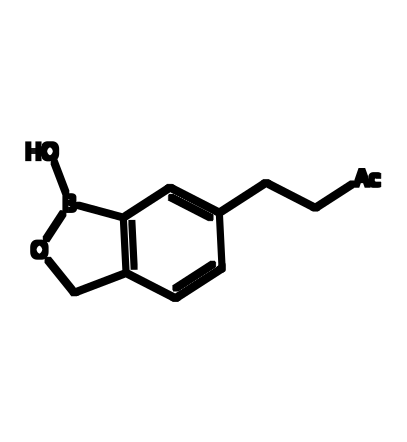 CC(=O)CCc1ccc2c(c1)B(O)OC2